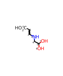 O=C(O)C=CNCC(O)O